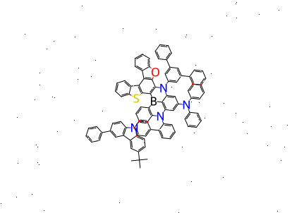 CC(C)(C)c1ccc2c(c1)c1cc(-c3ccccc3)ccc1n2-c1ccc2c(c1)N(c1ccccc1-c1ccccc1)c1cc(N(c3ccccc3)c3ccccc3)cc3c1B2c1c(c2oc4ccccc4c2c2c1sc1ccccc12)N3c1cc(-c2ccccc2)cc(-c2ccccc2)c1